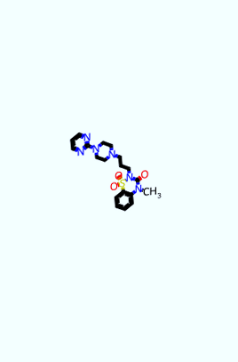 CN1C(=O)N(CCCN2CCN(c3ncccn3)CC2)S(=O)(=O)c2ccccc21